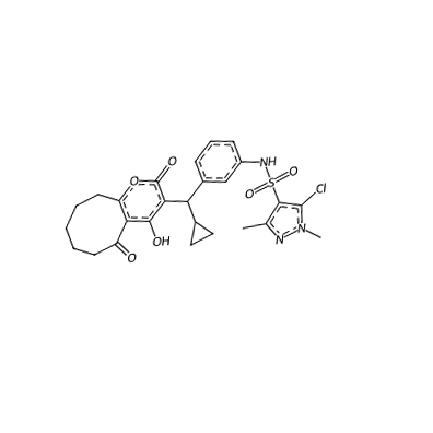 Cc1nn(C)c(Cl)c1S(=O)(=O)Nc1cccc(C(c2c(O)c3c(oc2=O)CCCCCC3=O)C2CC2)c1